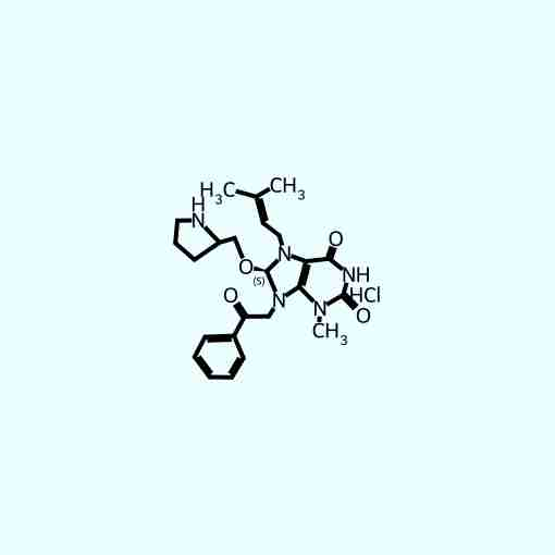 CC(C)=CCN1c2c(n(C)c(=O)[nH]c2=O)N(CC(=O)c2ccccc2)[C@H]1OCC1CCCN1.Cl